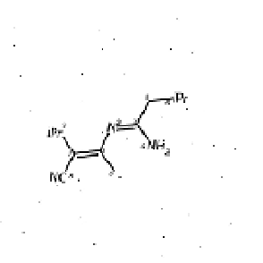 CC(/N=C(\N)CC(C)C)=C(\C#N)C(C)C